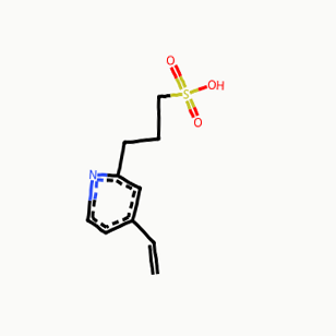 C=Cc1ccnc(CCCS(=O)(=O)O)c1